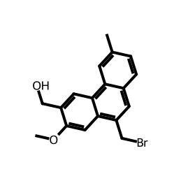 COc1cc2c(CBr)cc3ccc(C)cc3c2cc1CO